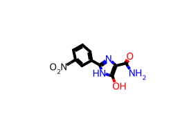 NC(=O)c1nc(-c2cccc([N+](=O)[O-])c2)[nH]c1O